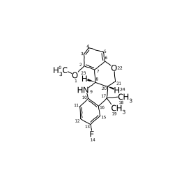 COc1cccc2c1[C@H]1Nc3ccc(F)cc3C(C)(C)[C@H]1CO2